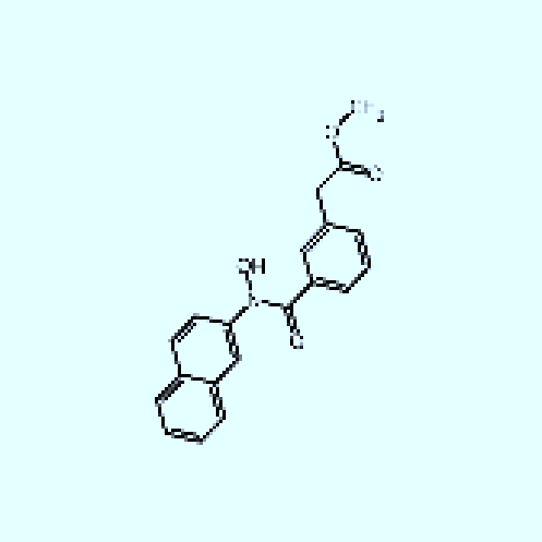 COC(=O)Cc1cccc(C(=O)N(O)c2ccc3ccccc3c2)c1